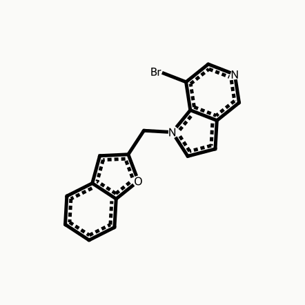 Brc1cncc2ccn(Cc3cc4ccccc4o3)c12